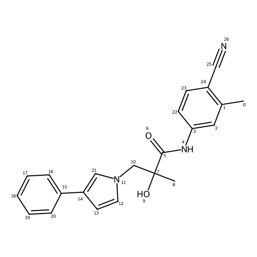 Cc1cc(NC(=O)C(C)(O)Cn2ccc(-c3ccccc3)c2)ccc1C#N